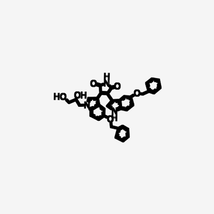 O=C1NC(=O)C(c2cn(CC(O)CO)c3ccc(OCc4ccccc4)cc23)=C1c1c[nH]c2ccc(OCc3ccccc3)cc12